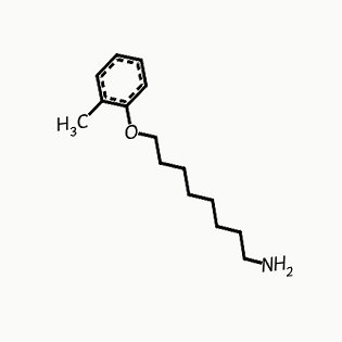 Cc1ccccc1OCCCCCCCCN